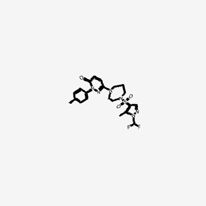 Cc1ccc(-n2nc(N3CCCN(S(=O)(=O)c4cnn(C(F)F)c4C)CC3)ccc2=O)cc1